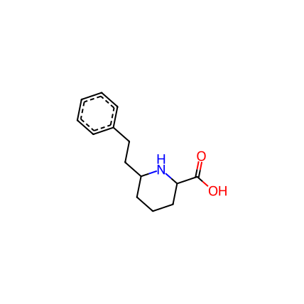 O=C(O)C1CCCC(CCc2ccccc2)N1